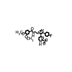 COc1ccc(C(=O)NCCn2cnc(-c3ccc(F)cc3)c2-c2cc[nH]c(=S(=O)=O)n2)cc1OC